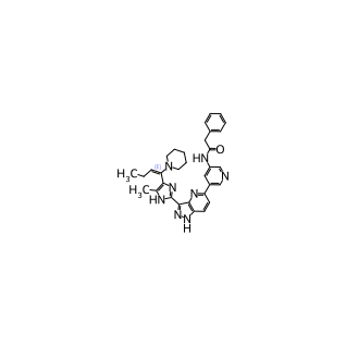 CC/C=C(\c1nc(-c2n[nH]c3ccc(-c4cncc(NC(=O)Cc5ccccc5)c4)nc23)[nH]c1C)N1CCCCC1